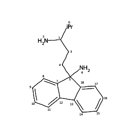 CC(C)C(N)CCC1(N)c2ccccc2-c2ccccc21